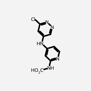 O=C(O)Nc1cc(Nc2cnnc(Cl)c2)ccn1